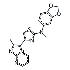 Cc1nc2ncccn2c1-c1csc(N(C)c2ccc3c(c2)OCO3)n1